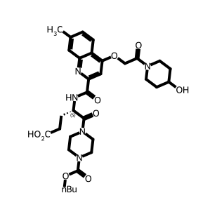 CCCCOC(=O)N1CCN(C(=O)[C@H](CCC(=O)O)NC(=O)c2cc(OCC(=O)N3CCC(O)CC3)c3ccc(C)cc3n2)CC1